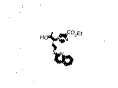 CCOC(=O)c1cn([C@H](CCSc2ccc3ccccc3n2)[C@H](C)O)cn1